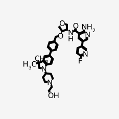 CC1(C)CN(C2CCN(CCO)CC2)c2ccc(-c3ccc(CO[C@H]4COC[C@@H]4NC(=O)c4cc(-c5ccc(F)nc5)cnc4N)cc3)cc21